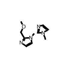 COCc1nccn1C.Cn1ccnc1